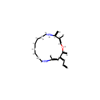 C=C/C=C1\C=C(/C)NCCCCCCCCNC(=C)/C(C)=C/OC1=C